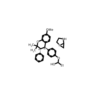 C1CN2CC2N1.CCC(O)Oc1ccc([C@@H]2c3ccc(OC)cc3OC(C)(C)[C@H]2c2ccccc2)cc1